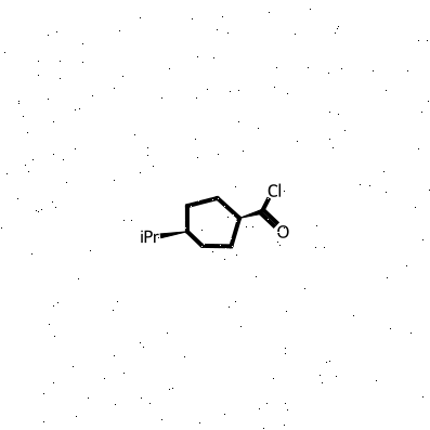 CC(C)[C@H]1CC[C@@H](C(=O)Cl)CC1